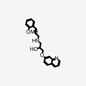 COc1ccccc1C=CCNCC(O)COc1ccc2cccnc2c1